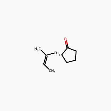 CC=C(C)C.O=C1CCCC1